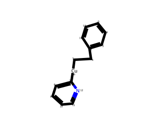 c1ccc(C[CH2][Cu][c]2ccccn2)cc1